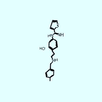 Cc1ccc(CNCCc2ccc(NC(=N)c3cccs3)cc2)cc1.Cl